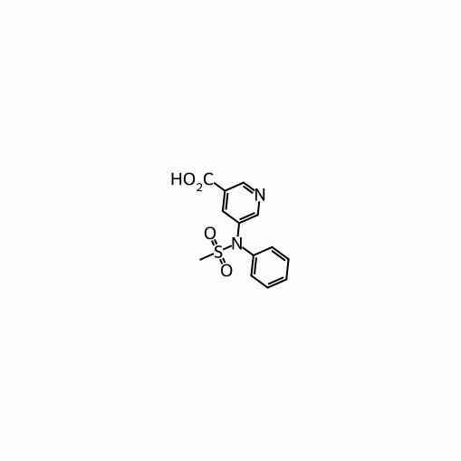 CS(=O)(=O)N(c1ccccc1)c1cncc(C(=O)O)c1